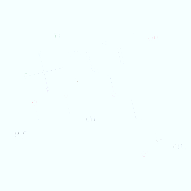 CCOP(OCC)C(F)(F)c1sc2c(OCCC[S+](C)[O-])cc(CO)cc2c1Br